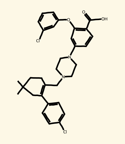 CC1(C)CCC(CN2CCN(c3ccc(C(=O)O)c(Oc4cccc(Cl)c4)c3)CC2)=C(c2ccc(Cl)cc2)C1